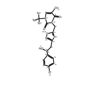 [2H]C([2H])([2H])n1cc(C)c(=O)n(Cc2nc(C[C@H](O)c3ccc(Cl)cc3)no2)c1=O